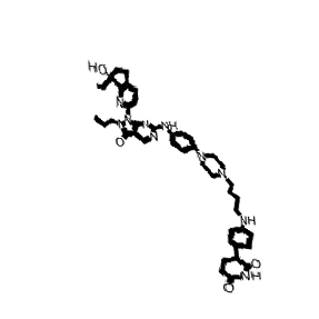 C=CCn1c(=O)c2cnc(Nc3ccc(N4CCN(CCCCNc5ccc(C6CCC(=O)NC6=O)cc5)CC4)cc3)nc2n1-c1ccc2c(n1)[C@@](O)(CC)CC2